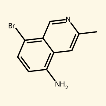 Cc1cc2c(N)ccc(Br)c2cn1